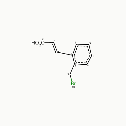 O=C(O)/C=C/c1ccccc1CBr